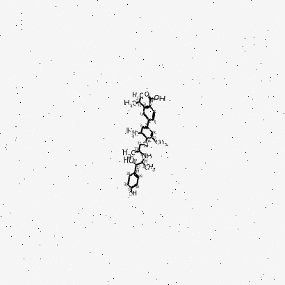 Cc1cc(-c2ccc(C(=O)O)c(C(C)C)c2)cc(C)c1OCC(C)N[C@@H](C)[C@H](O)c1ccc(O)cc1